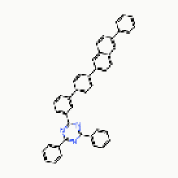 c1ccc(-c2ccc3cc(-c4ccc(-c5cccc(-c6nc(-c7ccccc7)nc(-c7ccccc7)n6)c5)cc4)ccc3c2)cc1